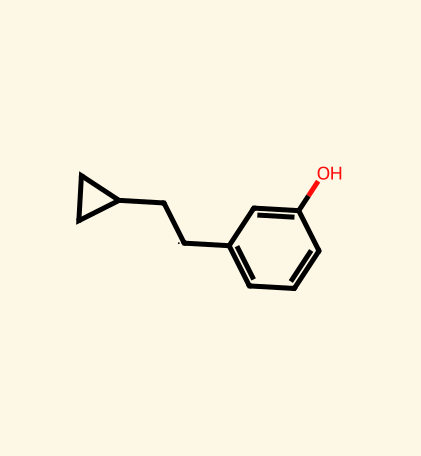 Oc1cccc([CH]CC2CC2)c1